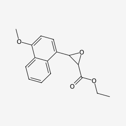 CCOC(=O)C1OC1c1ccc(OC)c2ccccc12